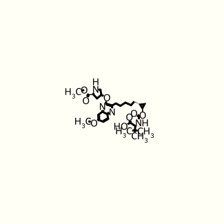 COC(=O)[C@@H]1CC(Oc2nc3cc(OC)ccc3nc2CCCCC[C@@H]2C[C@H]2OC(=O)NC(C(=O)O)C(C)(C)C)CN1